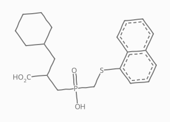 O=C(O)C(CC1CCCCC1)CP(=O)(O)CSc1cccc2ccccc12